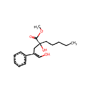 CCCCCC(O)(CC(=CO)c1ccccc1)C(=O)OC